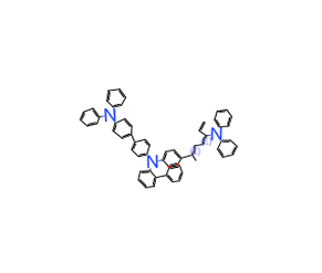 C=C/C(=C\C=C(/C)c1ccc(N(c2ccc(-c3ccc(N(c4ccccc4)c4ccccc4)cc3)cc2)c2ccccc2-c2ccccc2)cc1)N(c1ccccc1)c1ccccc1